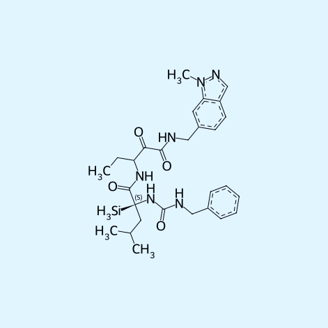 CCC(NC(=O)[C@@]([SiH3])(CC(C)C)NC(=O)NCc1ccccc1)C(=O)C(=O)NCc1ccc2cnn(C)c2c1